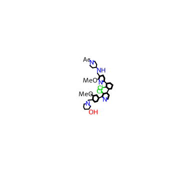 COc1cc(-c2nccc(-c3cccc(-c4ccc(CNC5CCN(C(C)=O)CC5)c(OC)n4)c3Cl)c2Cl)ccc1CN1CCCC(O)C1